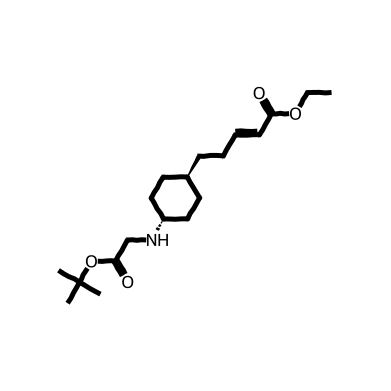 CCOC(=O)C=CCC[C@H]1CC[C@H](NCC(=O)OC(C)(C)C)CC1